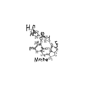 CNCC1Cc2cc(F)c(CCNS(=O)(=O)c3cnn(C)c3)cc2C1Cc1cccc(F)c1